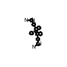 N#Cc1ccnc(-c2ccc(-c3cc4c(c5ccccc35)c3c5ccccc5c(-c5ccc(-c6cc(C#N)ccn6)cc5)cc3n4-c3ccccc3)cc2)c1